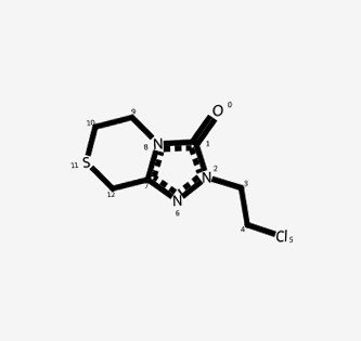 O=c1n(CCCl)nc2n1CCSC2